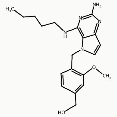 CCCCCNc1nc(N)nc2ccn(Cc3ccc(CO)cc3OC)c12